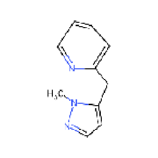 Cn1nccc1Cc1ccccn1